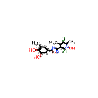 CC1=C(Cl)C(C)N(O)C(Cl)=C1c1noc(-c2cc(C)c(O)c(O)c2)n1